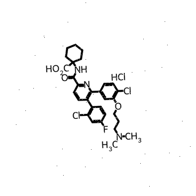 CN(C)CCCOc1cc(-c2nc(C(=O)NC3(C(=O)O)CCCCC3)ccc2-c2ccc(F)cc2Cl)ccc1Cl.Cl